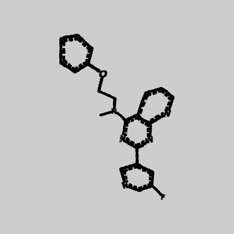 CN(CCOc1ccccc1)c1nc(-c2cncc(F)c2)nc2ncccc12